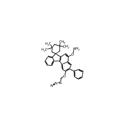 CC1(C)CC(C)(C)CC2(C1)c1ccccc1-c1c2cc(ON)c2cc(-c3ccccc3)c(OCN=[N+]=[N-])cc12